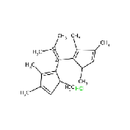 CC1=CC(C)[C]([Zr]([C]2=C(C)C(C)=CC2C)=[Si](C)C)=C1C.Cl